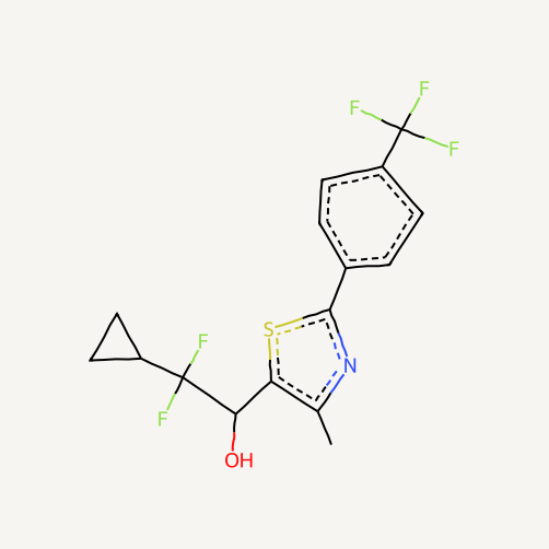 Cc1nc(-c2ccc(C(F)(F)F)cc2)sc1C(O)C(F)(F)C1CC1